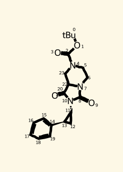 CC(C)(C)OC(=O)N1CCN2C(=O)N([C@@H]3C[C@H]3c3ccccc3)C(=O)C2C1